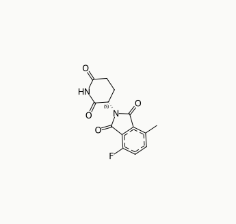 Cc1ccc(F)c2c1C(=O)N([C@H]1CCC(=O)NC1=O)C2=O